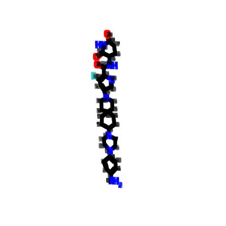 Nc1ccc(N2CCN(C3CCC4(CC3)CCN(c3cnc(C(=O)NC5CCC(=O)NC5=O)c(F)c3)CC4)CC2)cc1